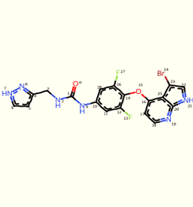 O=C(NCc1cc[nH]n1)Nc1cc(F)c(Oc2ccnc3[nH]cc(Br)c23)c(F)c1